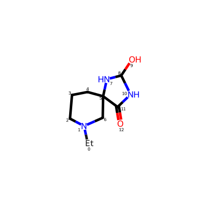 CCN1CCCC2(C1)NC(O)NC2=O